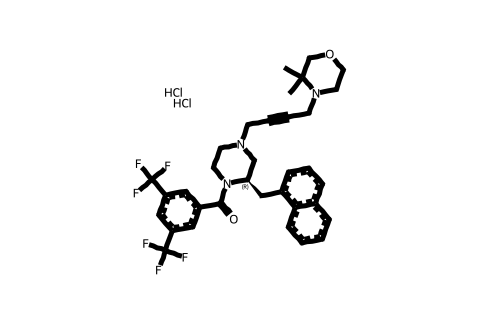 CC1(C)COCCN1CC#CCN1CCN(C(=O)c2cc(C(F)(F)F)cc(C(F)(F)F)c2)[C@H](Cc2cccc3ccccc23)C1.Cl.Cl